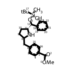 COC(=O)c1ccc(CC2CC[C@H](C(O[Si](C)(C)C(C)(C)C)c3ccccc3)N2)cc1